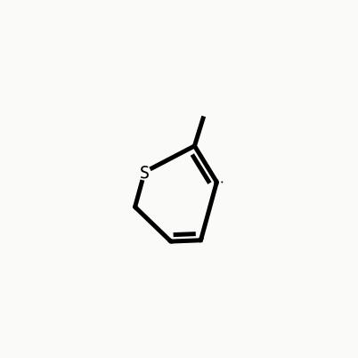 CC1=[C]C=CCS1